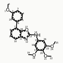 COc1cccc(-c2cccc3nc(Nc4cc(OC)c(OC)c(OC)c4)oc23)c1